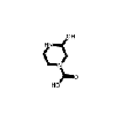 O=C(O)N1CCNC(O)C1